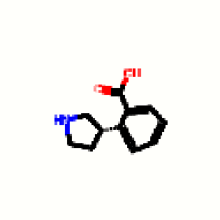 O=C(O)c1ccccc1[C@@H]1CCNC1